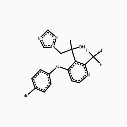 CC(O)(Cn1cncn1)c1c(Oc2ccc(Br)cc2)ccnc1C(F)(F)F